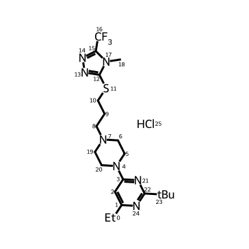 CCc1cc(N2CCN(CCCSc3nnc(C(F)(F)F)n3C)CC2)nc(C(C)(C)C)n1.Cl